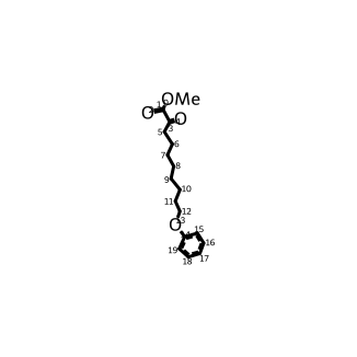 COC(=O)C(=O)CCCCCCCCOc1ccccc1